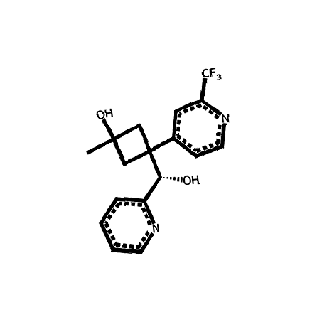 CC1(O)CC(c2ccnc(C(F)(F)F)c2)([C@H](O)c2ccccn2)C1